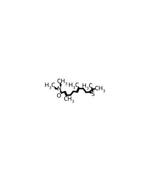 CCN(CC)C(=O)C=C(C)CCC=C(C)CCC1SC1(C)C